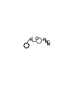 CN(Cc1ccccc1)C[C@@H]1CCC(N=[N+]=[N-])CO1